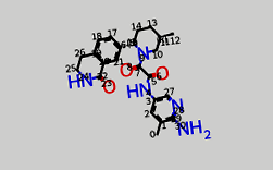 Cc1cc(NC(=O)C(=O)N2C[C@H](C)CC[C@H]2c2ccc3c(c2)C(=O)NCC3)cnc1N